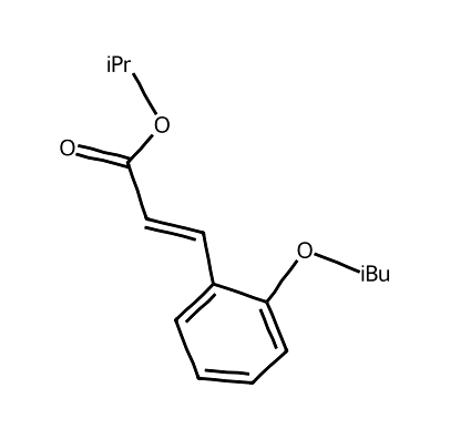 CCC(C)Oc1ccccc1C=CC(=O)OC(C)C